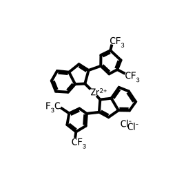 FC(F)(F)c1cc(C2=Cc3ccccc3[CH]2[Zr+2][CH]2C(c3cc(C(F)(F)F)cc(C(F)(F)F)c3)=Cc3ccccc32)cc(C(F)(F)F)c1.[Cl-].[Cl-]